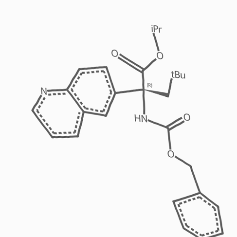 CC(C)OC(=O)[C@](CC(C)(C)C)(NC(=O)OCc1ccccc1)c1ccc2ncccc2c1